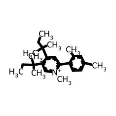 CCC(C)(C)c1cc(-c2ccc(C)cc2C)[n+](C)cc1C(C)(C)CC